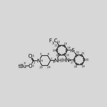 CC(C)(C)OC(=O)N1CCC(Nc2cc(C(F)(F)F)cc3c2Nc2ccccc2S3)CC1